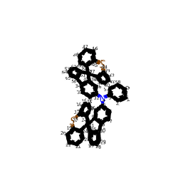 c1ccc(N(c2ccc3c(c2)C2(c4ccccc4Sc4ccccc42)c2ccccc2-3)c2ccc3c(c2)C2(c4ccccc4Sc4ccccc42)c2ccccc2-3)cc1